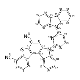 N#Cc1cccc2c1sc1c(C#N)cc3c(c4ccccc4n3-c3cccc(-n4c5ccccc5c5ccccc54)n3)c12